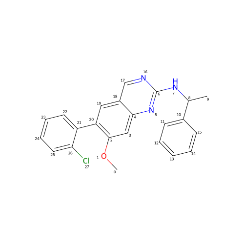 COc1cc2nc(NC(C)c3ccccc3)ncc2cc1-c1ccccc1Cl